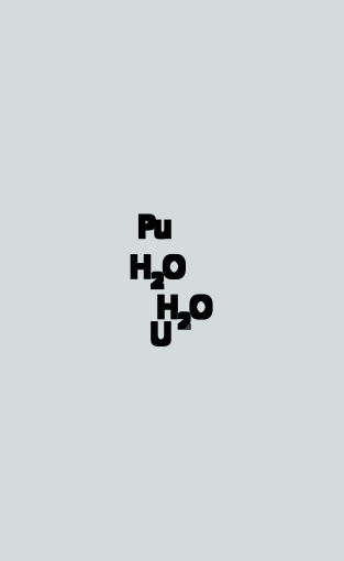 O.O.[Pu].[U]